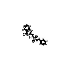 O=c1[nH]c(CNS(=O)(=O)CCc2ccccc2)nc2ncncc12